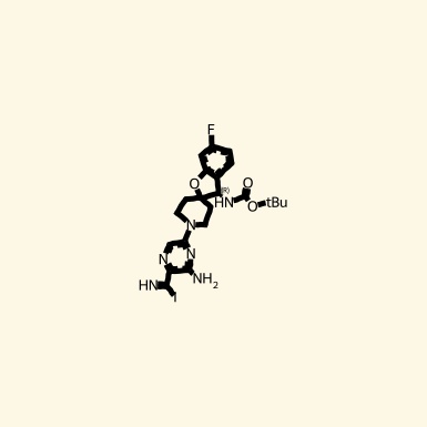 CC(C)(C)OC(=O)N[C@@H]1c2ccc(F)cc2OC12CCN(c1cnc(C(=N)I)c(N)n1)CC2